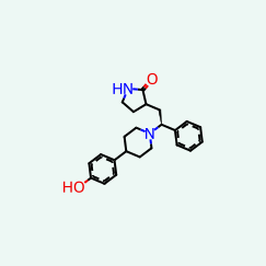 O=C1NCCC1C[C@@H](c1ccccc1)N1CCC(c2ccc(O)cc2)CC1